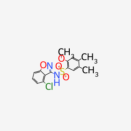 COc1cc(C)c(C)cc1S(=O)(=O)Nc1noc2cccc(Cl)c12